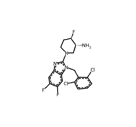 N[C@@H]1CN(c2nc3cc(F)c(F)cc3n2Cc2c(Cl)cccc2Cl)CCC1F